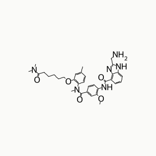 COc1cc(C(=O)N(C)c2ccc(C)cc2OCCCCCC(=O)N(C)C)ccc1NC(=O)c1cccc2[nH]c(CN)nc12